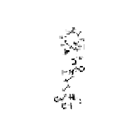 N[C@@H](CCCCNC(=O)OC[C@H]1[C@@H]2CCC#CCC[C@@H]21)C(=O)O